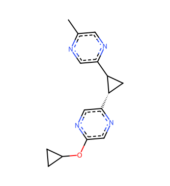 Cc1cnc(C2C[C@@H]2c2cnc(OC3CC3)cn2)cn1